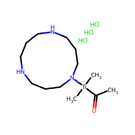 C[C](=O)[Ti]([CH3])([CH3])[N]1CCCNCCCNCCC1.Cl.Cl.Cl